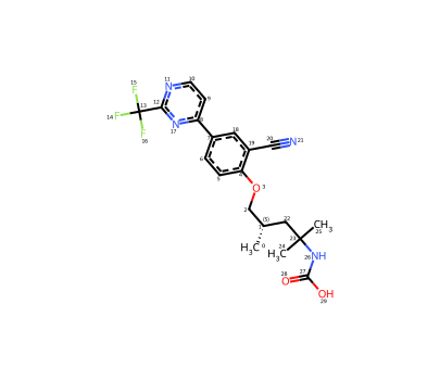 C[C@H](COc1ccc(-c2ccnc(C(F)(F)F)n2)cc1C#N)CC(C)(C)NC(=O)O